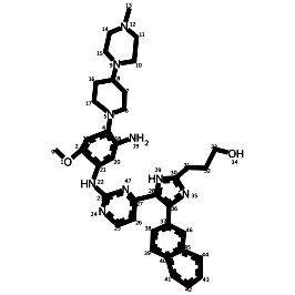 COc1cc(N2CCC(N3CCN(C)CC3)CC2)c(N)cc1Nc1nccc(-c2[nH]c(CCCO)nc2-c2ccc3ccccc3c2)n1